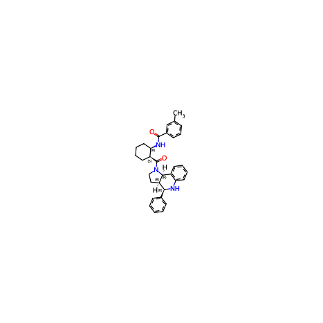 Cc1cccc(C(=O)N[C@@H]2CCCC[C@@H]2C(=O)N2CC[C@@H]3[C@H](c4ccccc4)Nc4ccccc4[C@@H]32)c1